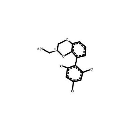 NC[C@H]1COc2cccc(-c3c(Cl)cc(Cl)cc3Cl)c2O1